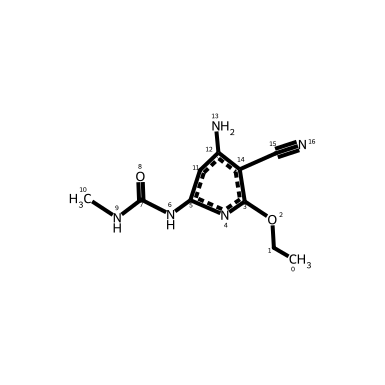 CCOc1nc(NC(=O)NC)cc(N)c1C#N